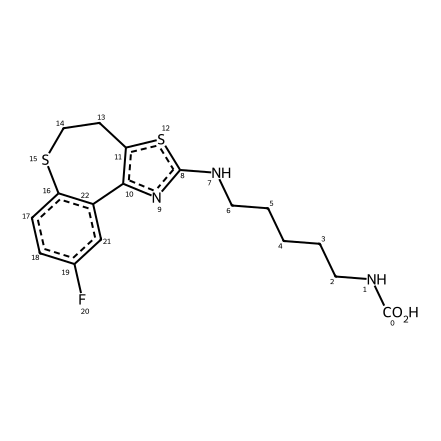 O=C(O)NCCCCCNc1nc2c(s1)CCSc1ccc(F)cc1-2